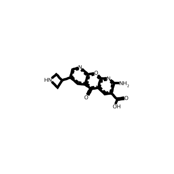 Nc1nc2oc3ncc(C4CNC4)cc3c(=O)c2cc1C(=O)O